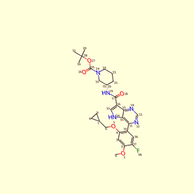 COc1cc(OCC2CC2)c(-c2ncnc3c(C(=O)N[C@H]4CCCN(C(=O)OC(C)(C)C)C4)c[nH]c23)cc1F